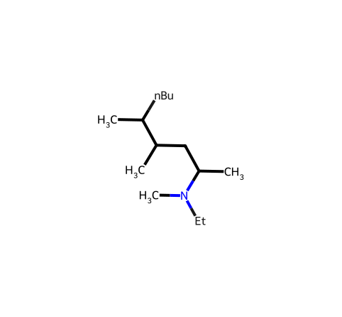 CCCCC(C)C(C)CC(C)N(C)CC